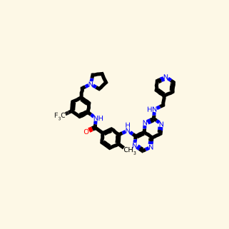 Cc1ccc(C(=O)Nc2cc(CN3CCCC3)cc(C(F)(F)F)c2)cc1Nc1ncnc2cnc(NCc3ccncc3)nc12